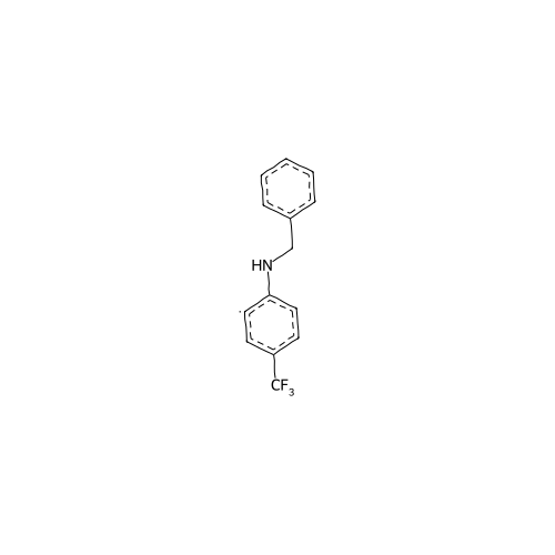 FC(F)(F)c1c[c]c(NCc2ccccc2)cc1